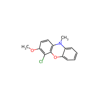 COc1ccc2c(c1Cl)Oc1ccccc1N2C